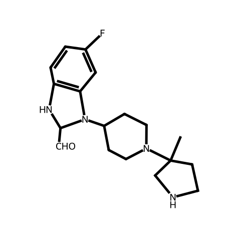 CC1(N2CCC(N3c4cc(F)ccc4NC3C=O)CC2)CCNC1